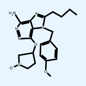 CCCCc1nc2c(N)nnc(OC3CC[S+]([O-])C3)c2n1Cc1ccc(OC)cc1